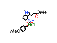 COC(=O)CCC1CN(C)c2cccc(NC(=O)OCc3ccc(OC)cc3)c21.Cl